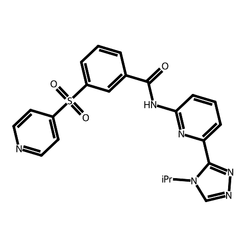 CC(C)n1cnnc1-c1cccc(NC(=O)c2cccc(S(=O)(=O)c3ccncc3)c2)n1